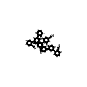 N#Cc1cc(C#N)cc(-c2c(-n3c4ccccc4c4cc(-c5ccccc5C#N)ccc43)cc(C#N)cc2-n2c3ccccc3c3cc(-c4ccccc4C#N)ccc32)c1